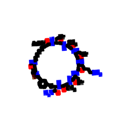 CC(=O)N[C@H]1CCCCNC(=O)[C@@H]2CSC(=N2)c2cccc(c2)C[C@@H](C(N)=O)NC(=O)[C@H](C)NC(=O)[C@H](CC(C)C)NC(=O)[C@H](CCCCN)NC(=O)[C@H](CC(C)C)NC(=O)[C@H](C)NC(=O)[C@H](CC(C)C)NC1=O